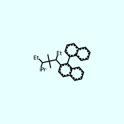 CCC([C](C)C)C(C)(C)C(CC)c1ccc2ccccc2c1-c1cccc2ccccc12